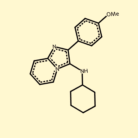 COc1ccc(-c2nc3ccccn3c2NC2CCCCC2)cc1